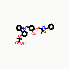 COc1cc(Cn2c3ccccc3c3c(OC(C)(C)C(=O)O)cccc32)ccc1OCc1nc(-c2ccccc2)sc1C